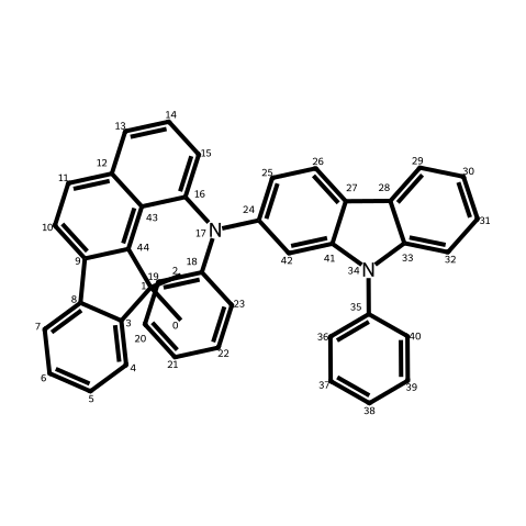 CC1(C)c2ccccc2-c2ccc3cccc(N(c4ccccc4)c4ccc5c6ccccc6n(-c6ccccc6)c5c4)c3c21